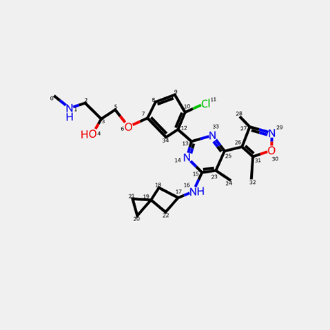 CNCC(O)COc1ccc(Cl)c(-c2nc(NC3CC4(CC4)C3)c(C)c(-c3c(C)noc3C)n2)c1